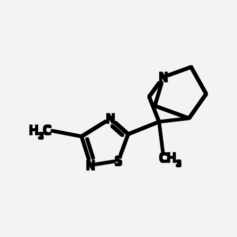 Cc1nsc(C2(C)CN3CCC2C3)n1